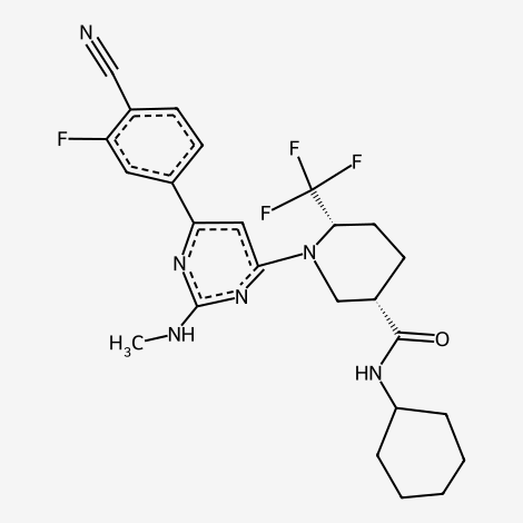 CNc1nc(-c2ccc(C#N)c(F)c2)cc(N2C[C@@H](C(=O)NC3CCCCC3)CC[C@H]2C(F)(F)F)n1